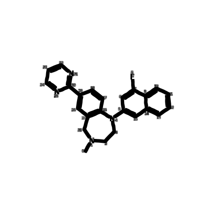 CN1CCN(c2cc(F)c3ccccc3c2)c2ccc(-c3ncccn3)cc2C1